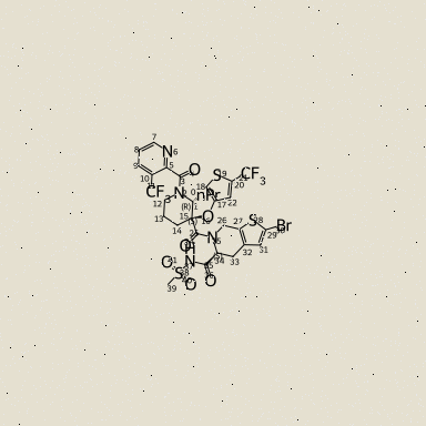 CCC[C@H]1N(C(=O)c2ncccc2C(F)(F)F)CCC[C@@]1(Oc1csc(C(F)(F)F)c1)C(=O)N1Cc2sc(Br)cc2C[C@H]1C(=O)NS(C)(=O)=O